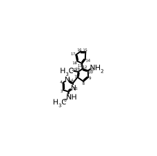 CNc1ccnc(-c2ccc(N)c(-c3ccccc3)c2C)n1